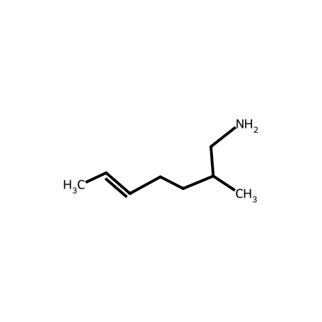 CC=CCCC(C)CN